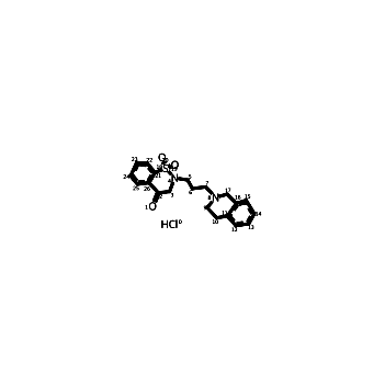 Cl.O=C1CN(CCCN2CCc3ccccc3C2)S(=O)(=O)c2ccccc21